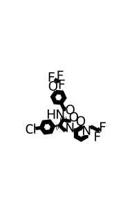 O=C(N[C@@H]1C(=O)N(c2cccn(CC(F)F)c2=O)C[C@H]1c1ccc(Cl)cc1)c1ccc(OC(F)(F)F)cc1